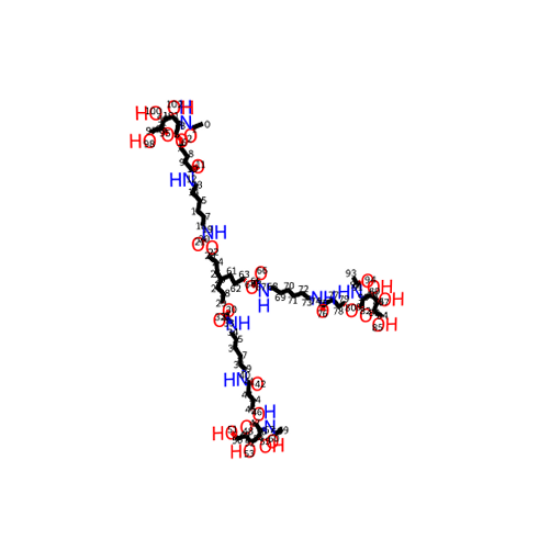 CC(=O)NC1C(OCCCC(=O)NCCCCCCNC(=O)OCCCC(CCCOC(=O)NCCCCCCNC(=O)CCCOC2OC(CO)C(O)C(O)C2NC(C)=O)CCCOC(=O)NCCCCCCNC(=O)CCCOC2OC(CO)C(O)C(O)C2NC(C)=O)OC(CO)C(O)C1O